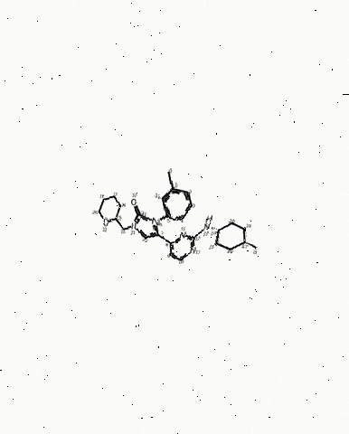 Cc1cccc(-n2c(-c3ccnc(N[C@H]4CC[C@H](C)CC4)n3)cn(CC3CCCCO3)c2=O)c1